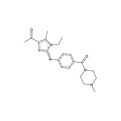 CCn1c(C)c(C(C)=O)s/c1=N/c1ccc(C(=O)N2CCN(C)CC2)cc1